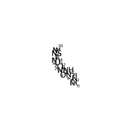 Cc1cn2c(n1)CN(C(=O)Nc1cc3cc(-c4nnc(C)s4)ncc3cn1)CC2